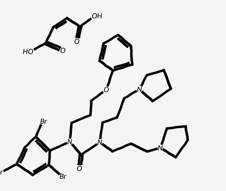 O=C(N(CCCN1CCCC1)CCCN1CCCC1)N(CCCOc1ccccc1)c1c(Br)cc(Br)cc1Br.O=C(O)/C=C\C(=O)O